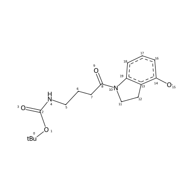 CC(C)(C)OC(=O)NCCCC(=O)N1CCc2c([O])cccc21